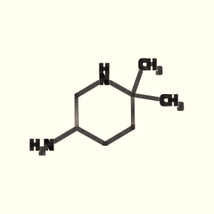 CC1(C)CCC(N)CN1